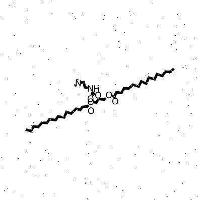 CCCCCCCCCCCCCCCC(=O)OCC(COC(=O)CCCCCCCCCCCCCCC)OC(=O)NCCN(C)C